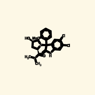 COc1ccccc1C1(N2C[C@H](O)C[C@H]2C(=O)N(C)C)C(=O)Nc2cc(Cl)c(Cl)cc21